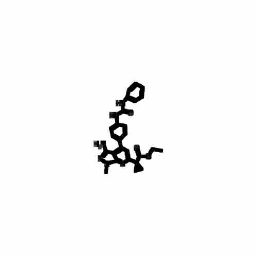 CCOC(=O)C1(c2cc(-c3ccc(NC(=O)Nc4ccccc4)cc3)c3c(N)nn(C)c3n2)CC1